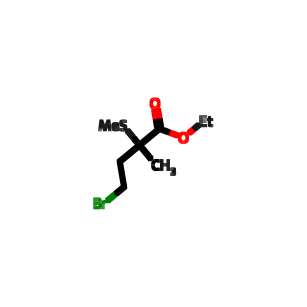 CCOC(=O)C(C)(CCBr)SC